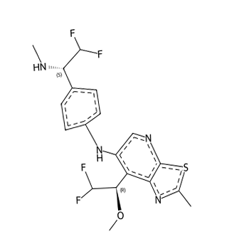 CN[C@@H](c1ccc(Nc2cnc3sc(C)nc3c2[C@@H](OC)C(F)F)cc1)C(F)F